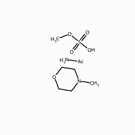 CC(N)=O.CN1CCOCC1.COS(=O)(=O)O